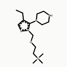 CCc1cnn(COCC[Si](C)(C)C)c1N1CCNCC1